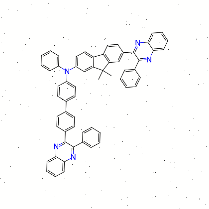 CC1(C)c2cc(-c3nc4ccccc4nc3-c3ccccc3)ccc2-c2ccc(N(c3ccccc3)c3ccc(-c4ccc(-c5nc6ccccc6nc5-c5ccccc5)cc4)cc3)cc21